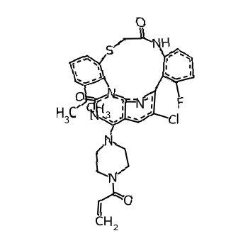 C=CC(=O)N1CCN(c2nc(=O)n3c4nc(c(Cl)cc24)-c2c(F)cccc2NC(=O)CSc2cccc(C(C)C)c2-3)CC1